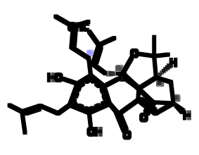 CC(C)=CCc1c(O)c(CC=C(C)C)c2c(c1O)C(=O)C1=C[C@H]3C[C@@H]4C(C)(C)O[C@](C/C=C(\C)C=O)(C3=O)C14O2